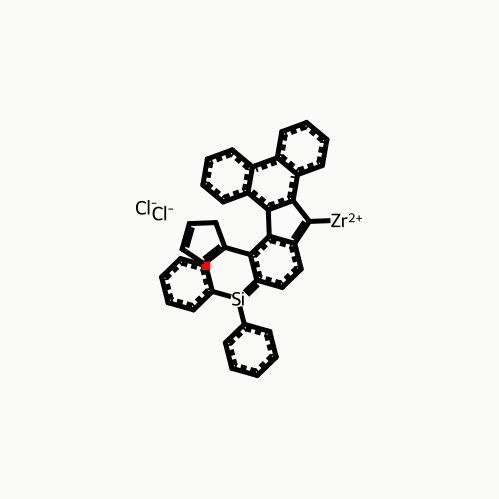 [Cl-].[Cl-].[Zr+2][C]1=c2ccc(=[Si](c3ccccc3)c3ccccc3)c(C3=CC=CC3)c2-c2c1c1ccccc1c1ccccc21